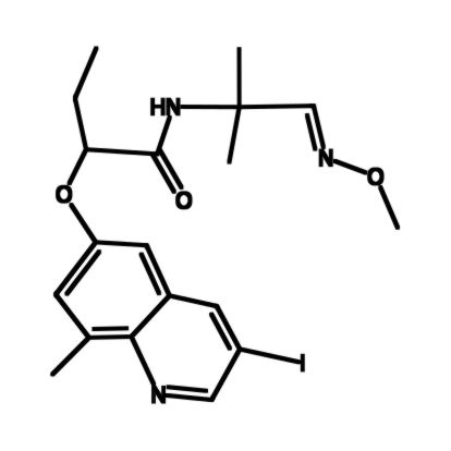 CCC(Oc1cc(C)c2ncc(I)cc2c1)C(=O)NC(C)(C)C=NOC